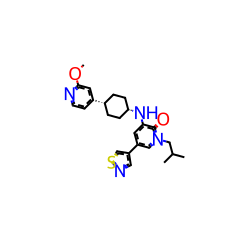 COc1cc([C@H]2CC[C@@H](Nc3cc(-c4cnsc4)cn(CC(C)C)c3=O)CC2)ccn1